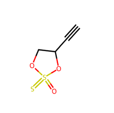 C#CC1COS(=O)(=S)O1